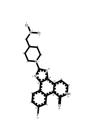 CCN(CC)CC1CCN(c2nc3c4ccc(F)cc4c4c(=O)[nH]ccc4c3s2)CC1